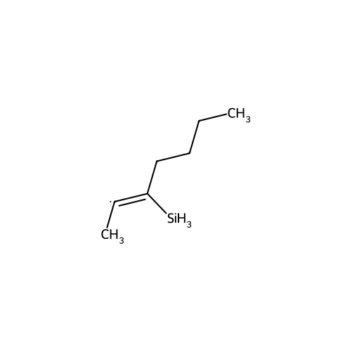 C[C]=C([SiH3])CCCC